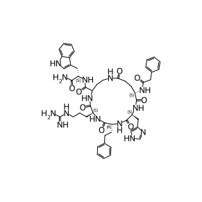 N=C(N)NCCC[C@@H]1NC(=O)[C@@H](CCc2ccccc2)NC(=O)[C@H](Cc2c[nH]cn2)NC(=O)[C@@H](NC(=O)Cc2ccccc2)CCC(=O)NCCC(C(=O)N[C@@H](Cc2c[nH]c3ccccc23)C(N)=O)NC1=O